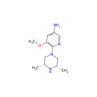 COc1cc(N)cnc1N1C[C@@H](C)N[C@@H](C)C1